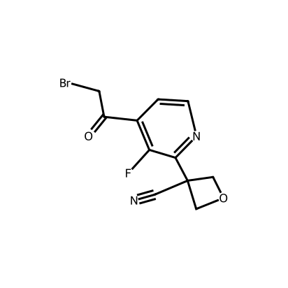 N#CC1(c2nccc(C(=O)CBr)c2F)COC1